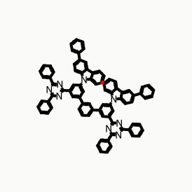 c1ccc(-c2ccc3c(c2)c2ccccc2n3-c2cc(-c3cccc(-c4cc(-c5nc(-c6ccccc6)nc(-c6ccccc6)n5)cc(-n5c6ccccc6c6cc(-c7ccccc7)ccc65)c4)c3)cc(-c3nc(-c4ccccc4)nc(-c4ccccc4)n3)c2)cc1